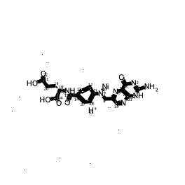 Nc1nc(=O)c2nc(C[N]([Ni])c3ccc(C(=O)N[C@@H](CCC(=O)O)C(=O)O)cc3)cnc2[nH]1.[H+]